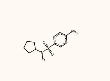 CCN(C1CCCC1)S(=O)(=O)c1ccc(N)cc1